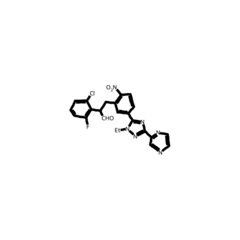 CCn1nc(-c2cnccn2)nc1-c1ccc([N+](=O)[O-])c(CC(C=O)c2c(F)cccc2Cl)c1